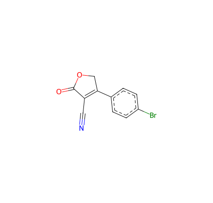 N#CC1=C(c2ccc(Br)cc2)COC1=O